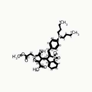 CCCCN(CCCC)c1ccc(/C=C2/C(=C3\C(=N)N(CC(=O)OC)N=C3C(=O)O)c3ccccc3S2(=O)=O)cc1